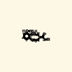 CC(=O)O.CCSC(=O)N(CC(C)C)CC(C)C.O=C(O)c1ccccc1C(=O)O